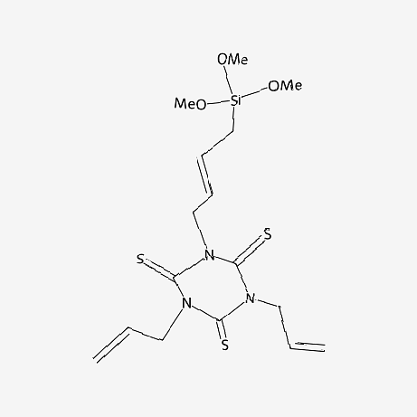 C=CCn1c(=S)n(CC=C)c(=S)n(CC=CC[Si](OC)(OC)OC)c1=S